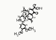 COc1ccc(C2CN(C3(Cl)C=C(F)Cc4c3n(C3CC3)cc(C(=O)O)c4=O)CCN2)cc1OC